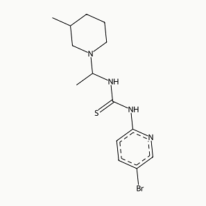 CC1CCCN(C(C)NC(=S)Nc2ccc(Br)cn2)C1